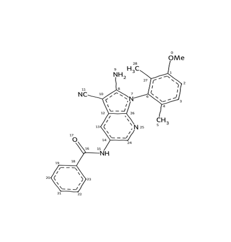 COc1ccc(C)c(-n2c(N)c(C#N)c3cc(NC(=O)c4ccccc4)cnc32)c1C